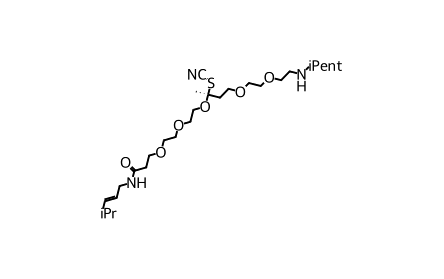 CCCC(C)NCCOCCOCC[C@@](C)(OCCOCCOCCC(=O)NC/C=C/C(C)C)SC#N